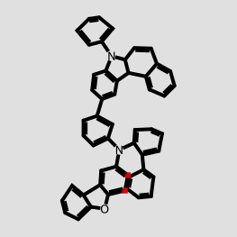 C1=CC2C(c3ccccc31)c1cc(-c3cccc(N(c4ccc5oc6ccccc6c5c4)c4ccccc4-c4ccccc4)c3)ccc1N2c1ccccc1